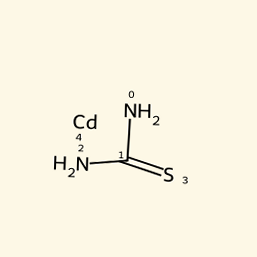 NC(N)=S.[Cd]